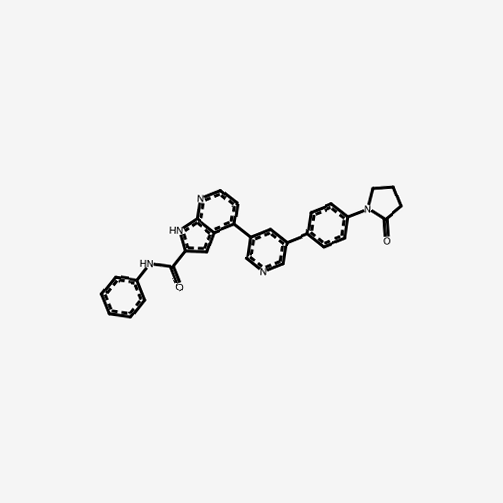 O=C(Nc1ccccc1)c1cc2c(-c3cncc(-c4ccc(N5CCCC5=O)cc4)c3)ccnc2[nH]1